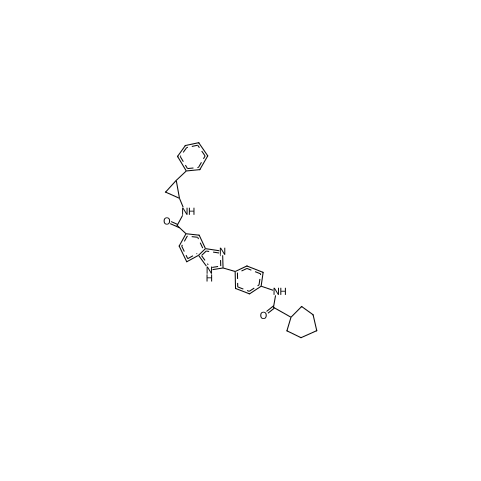 O=C(NC1CC1c1ccccc1)c1ccc2[nH]c(-c3ccc(NC(=O)C4CCCCC4)cc3)nc2c1